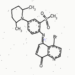 CC1CCCC(C)N1c1ccc(/N=C2\C=CC(=O)c3nccc(Br)c32)c(S(C)(=O)=O)c1